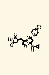 CCN1CCN(c2cc(NC3CC3)n3ncc(C=C4CC(=O)NC4=O)c3n2)CC1